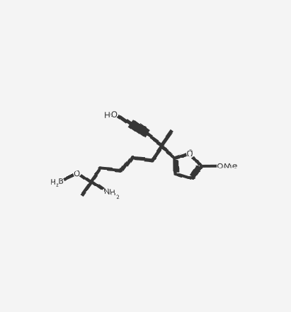 BOC(C)(N)CCCCC(C)(C#CO)c1ccc(OC)o1